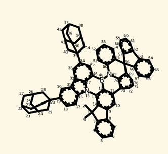 CC1(C)c2ccccc2-c2cc3c4c(c21)-n1c2ccc(C56CC7CC(CC(C7)C5)C6)cc2c2cc(C56CC7CC(CC(C7)C5)C6)cc(c21)B4N1c2ccccc2C2(c4ccccc4-c4ccccc42)c2cccc-3c21